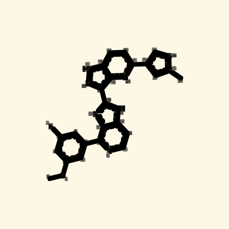 COc1cc(F)cc(-c2nccc3[nH]c(-c4n[nH]c5ccc(-c6cnn(C)c6)nc45)nc23)c1